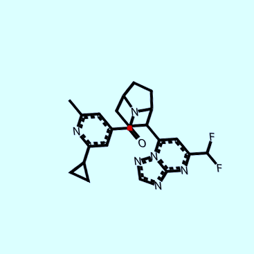 Cc1cc(C(=O)N2C3CCC(c4cc(C(F)F)nc5ncnn45)C2CC3)cc(C2CC2)n1